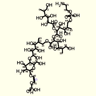 CC(CO)C(O)C(O)C(O)C(O)OC(C(O)OC(C(O)OCC(C)C(O)C(O)C(O)C(O)OC1C(CO)OC(O/C=C\O[PH](=O)O)C(N)C1O)C(O)C(O)C(C)CO)C(O)C(O)C(C)COP(=O)(O)OCCN